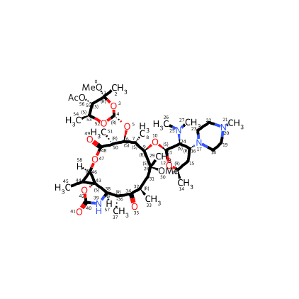 CO[C@]1(C)O[C@H](O[C@H]2[C@H](C)[C@@H](O[C@@H]3O[C@H](C)C[C@@H](N4CCN(C)CC4)[C@@H]3N(C)C)[C@@](C)(OC)C[C@@H](C)C(=O)[C@H](C)[C@H]3NC(=O)O[C@@]34C(C)[C@H]4OC(=O)[C@@H]2C)O[C@@H](C)[C@@H]1OC(C)=O